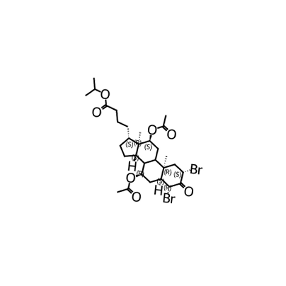 CC(=O)O[C@H]1CC2C([C@H](OC(C)=O)C[C@@H]3[C@@H](Br)C(=O)[C@@H](Br)C[C@]23C)[C@@H]2CC[C@H](CCCC(=O)OC(C)C)[C@@]12C